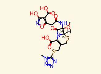 CO[C@@]1(NC(=O)Cc2onc(O)c2C(=O)O)C(=O)N2C(C(=O)O)=C(CSc3nnnn3C)CS[C@H]21